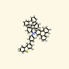 c1ccc2c(c1)-c1ccccc1C21c2ccccc2-c2c(N(c3ccc(-c4ccc5sc6ccccc6c5c4)cc3)c3ccc4c5ccccc5c5ccccc5c4c3)cccc21